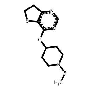 CSN1CCC(Oc2ncnc3c2SCC3)CC1